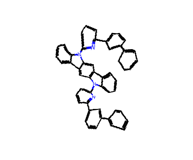 C1=CCCC(c2cccc(-c3cccc(-n4c5ccccc5c5cc6c(cc54)c4ccccc4n6-c4cccc(-c5cccc(-c6ccccc6)c5)n4)n3)c2)=C1